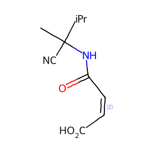 CC(C)C(C)(C#N)NC(=O)/C=C\C(=O)O